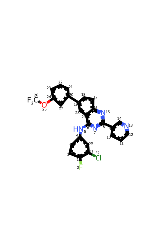 Fc1ccc(Nc2nc(-c3cccnc3)nc3ccc(-c4cccc(OC(F)(F)F)c4)cc23)cc1Cl